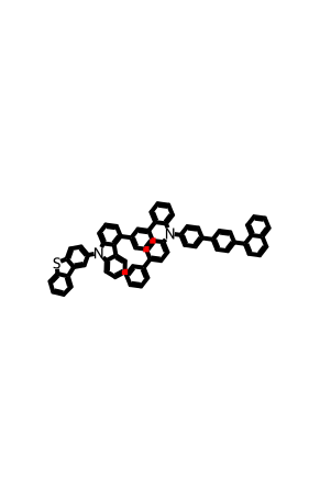 c1ccc(-c2ccc(N(c3ccc(-c4ccc(-c5cccc6ccccc56)cc4)cc3)c3ccccc3-c3cccc(-c4cccc5c4c4ccccc4n5-c4ccc5sc6ccccc6c5c4)c3)cc2)cc1